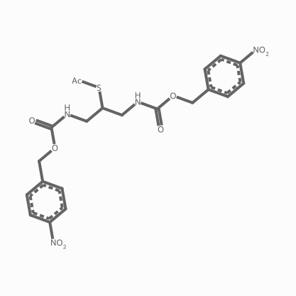 CC(=O)SC(CNC(=O)OCc1ccc([N+](=O)[O-])cc1)CNC(=O)OCc1ccc([N+](=O)[O-])cc1